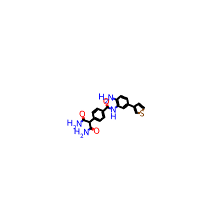 NC(=O)C(C(N)=O)c1ccc(C(=O)Nc2cc(-c3ccsc3)ccc2N)cc1